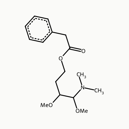 COC(CCOC(=O)Cc1ccccc1)C(OC)N(C)C